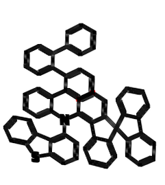 c1ccc(-c2ccccc2-c2ccccc2-c2ccccc2N(c2cccc3c2-c2ccccc2C32c3ccccc3-c3ccccc32)c2cccc3sc4ccccc4c23)cc1